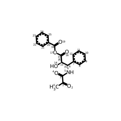 CC(=O)C(=O)N[C@@H](c1ccccc1)[C@@H](O)C(=O)OC(=O)c1ccccc1